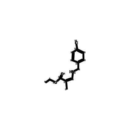 CCOC(=O)C(C)=CNCc1ccc(Cl)cc1